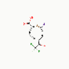 O=C(O)c1cccc(C(=O)C(F)(F)F)ccc(I)s1